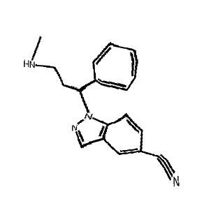 CNCCC(c1ccccc1)n1ncc2cc(C#N)ccc21